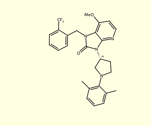 COc1ccnc2c1n(Cc1ccccc1C(F)(F)F)c(=O)n2[C@@H]1CCN(c2c(C)cccc2C)C1